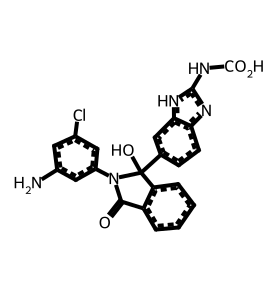 Nc1cc(Cl)cc(N2C(=O)c3ccccc3C2(O)c2ccc3nc(NC(=O)O)[nH]c3c2)c1